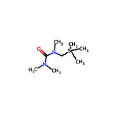 CN(C)C(=O)N(C)C[Si](C)(C)C